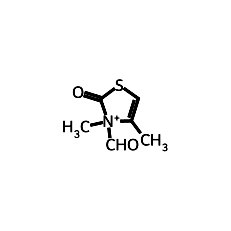 CC1=CSC(=O)[N+]1(C)C=O